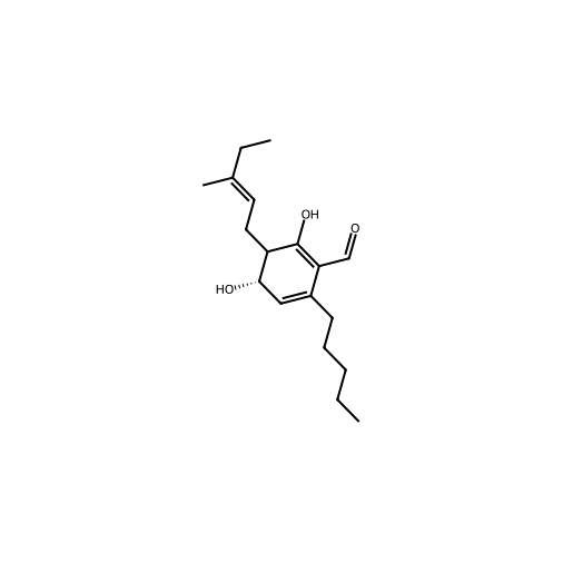 CCCCCC1=C[C@H](O)C(C/C=C(\C)CC)C(O)=C1C=O